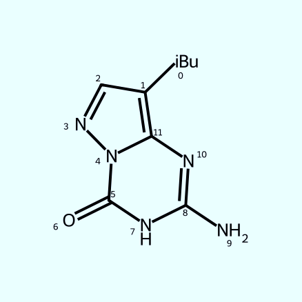 CCC(C)c1cnn2c(=O)[nH]c(N)nc12